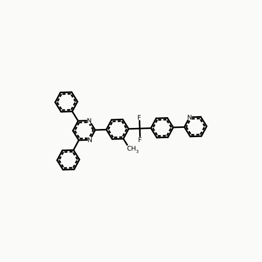 Cc1cc(-c2nc(-c3ccccc3)cc(-c3ccccc3)n2)ccc1C(F)(F)c1ccc(-c2ccccn2)cc1